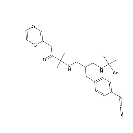 CC(=O)C(C)(C)NCC(CNC(C)(C)C(=O)CC1=COC=CO1)Cc1ccc(N=C=S)cc1